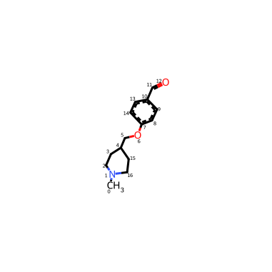 CN1CCC(COc2ccc(C=O)cc2)CC1